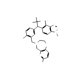 Cc1ccc(C(c2ccc3c(nnn3C)c2C)C(C)(C)C(=O)O)cc1CN1CCOc2ccc(O)nc2C1